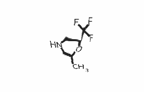 CC1CNC[C@@H](C(F)(F)F)O1